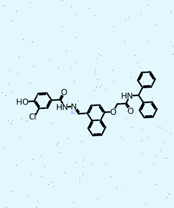 O=C(COc1ccc(/C=N/NC(=O)c2ccc(O)c(Cl)c2)c2ccccc12)NC(c1ccccc1)c1ccccc1